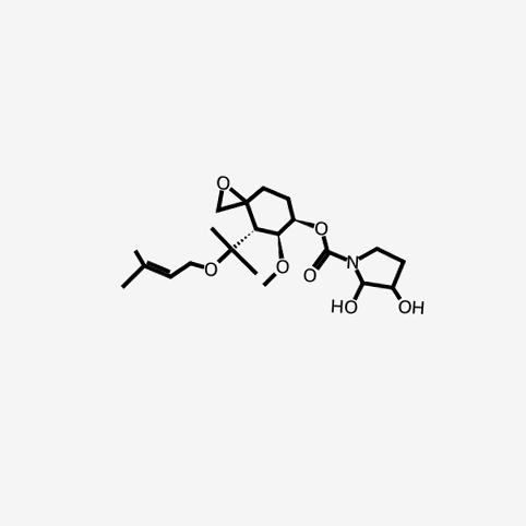 CO[C@H]1[C@H](C(C)(C)OCC=C(C)C)C2(CC[C@H]1OC(=O)N1CCC(O)C1O)CO2